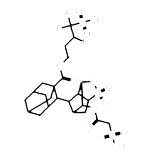 O=C(CS(=O)(=O)O)OC1C2CC3C(C1OS3(=O)=O)C2C1C2CC3CC(C2)CC1(C(=O)OCCC(F)C(F)(F)S(=O)(=O)O)C3